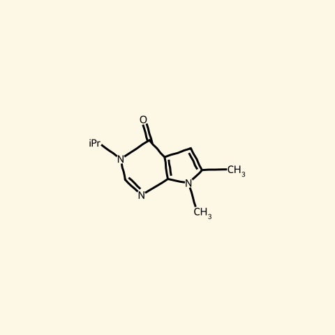 Cc1cc2c(=O)n(C(C)C)cnc2n1C